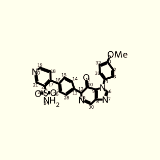 COc1ccc(-n2cnc3c2C(=O)C(c2ccc(-c4ccncc4S(N)(=O)=O)cc2)N=C3)cc1